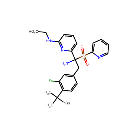 CCCCC(C)(C)c1ccc(CC(N)(c2cccc(NCC(=O)O)n2)S(=O)(=O)c2ccccn2)cc1F